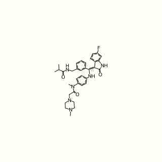 CC(C)C(=O)NCc1cccc(/C(Nc2ccc(N(C)C(=O)CN3CCN(C)CC3)cc2)=C2/C(=O)Nc3cc(F)ccc32)c1